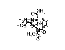 C[C@@H]([C]=O)NC(=O)[C@@H]1CCCN1C(=O)[C@H](CC(N)=O)NC(=O)[C@@H](N)CO